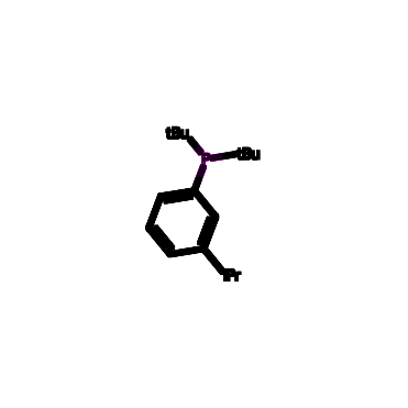 CC(C)c1cccc(P(C(C)(C)C)C(C)(C)C)c1